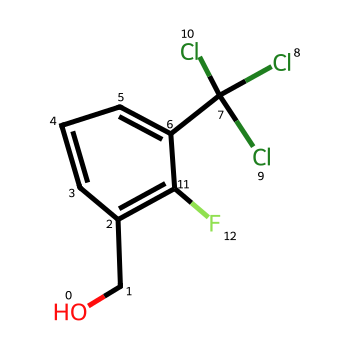 OCc1cccc(C(Cl)(Cl)Cl)c1F